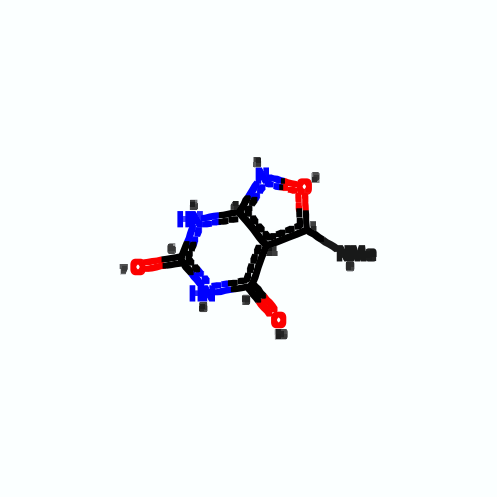 CNc1onc2[nH]c(=O)[nH]c(=O)c12